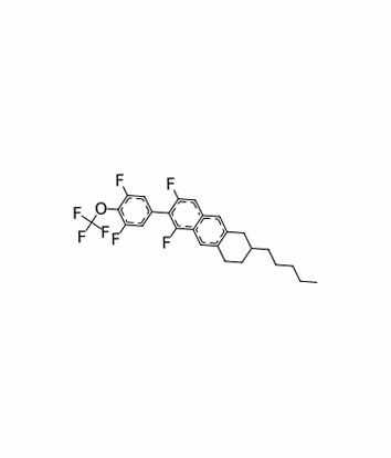 CCCCCC1CCc2cc3c(F)c(-c4cc(F)c(OC(F)(F)F)c(F)c4)c(F)cc3cc2C1